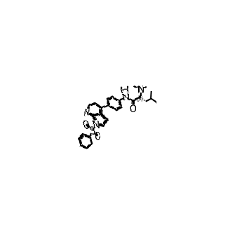 CC(C)C[C@H](C(=O)Nc1ccc(-c2ccnc3c2ccn3S(=O)(=O)c2ccccc2)cc1)N(C)C